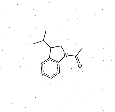 CC(=O)N1CC(C(C)C)c2ccccc21